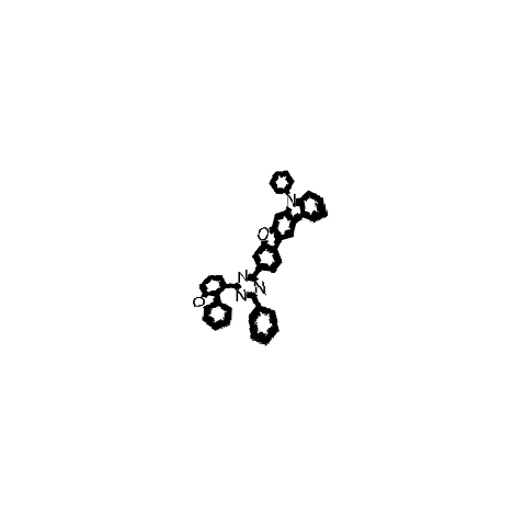 c1ccc(-c2nc(-c3ccc4c(c3)oc3cc5c(cc34)c3ccccc3n5-c3ccccc3)nc(-c3cccc4oc5ccccc5c34)n2)cc1